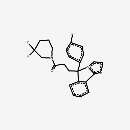 O=C(CCC1(c2ccc(Br)cc2)c2ccccc2-c2nccn21)N1CCCC(F)(F)C1